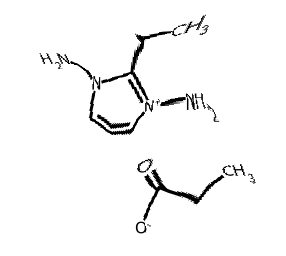 CCC(=O)[O-].CCc1n(N)cc[n+]1N